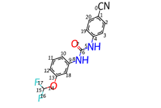 N#Cc1ccc(NC(=O)Nc2cccc(OC(F)F)c2)cc1